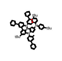 Cc1cc(-c2ccccc2)ccc1N1c2ccc(N(c3ccc(C(C)(C)C)cc3)c3ccc(C(C)(C)C)cc3)cc2B2c3c(cc(C(C)(C)C)cc31)-c1cc(-c3ccccc3)ccc1N2c1cccc(-c2ccccc2)c1